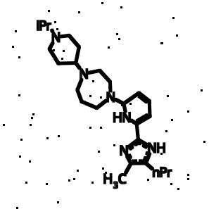 CCCc1[nH]c(C2=CC=CC(N3CCCN(C4CCN(C(C)C)CC4)CC3)N2)nc1C